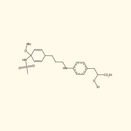 CCOC(=O)C(Cc1ccc(NCCCC2C=CC(NS(C)(=O)=O)(OC(C)(C)C)C=C2)cc1)OCC